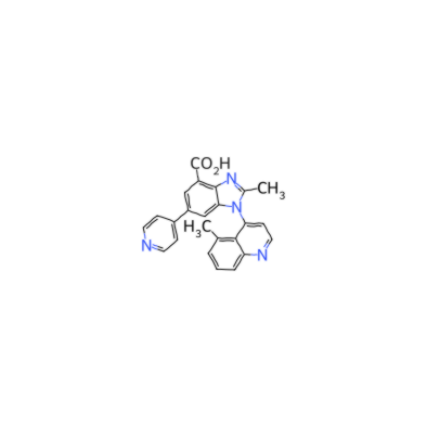 Cc1cccc2nccc(-n3c(C)nc4c(C(=O)O)cc(-c5ccncc5)cc43)c12